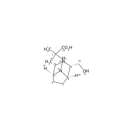 CC(C)(CN1[C@H]2CC[C@@H]1[C@@H](CO)NC2)C(=O)O